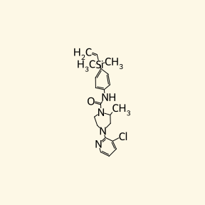 C=C[Si](C)(C)c1ccc(NC(=O)N2CCN(c3ncccc3Cl)CC2C)cc1